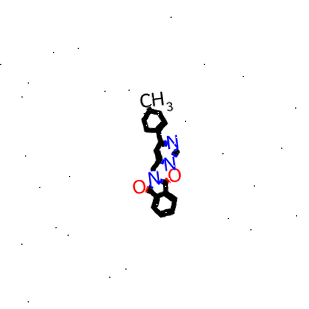 CC1CC=C(c2cc(CN3C(=O)c4ccccc4C3=O)ncn2)CC1